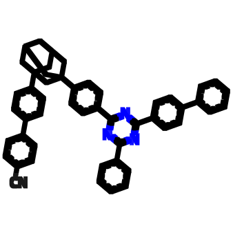 N#Cc1ccc(-c2ccc(C34CC5CC(C3)CC(c3ccc(-c6nc(-c7ccccc7)nc(-c7ccc(-c8ccccc8)cc7)n6)cc3)(C5)C4)cc2)cc1